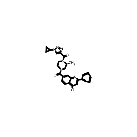 C[C@@H]1CN(C(=O)c2ccc3c(Cl)cc(-c4ccccc4)nc3c2)CCN1C(=O)c1cn(C2CC2)nn1